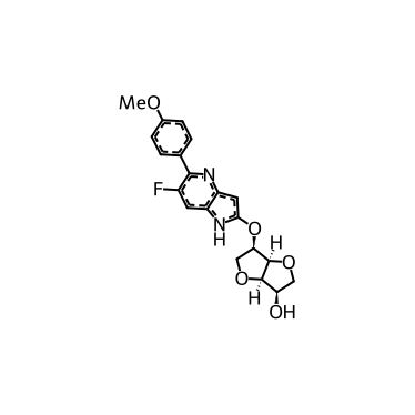 COc1ccc(-c2nc3cc(O[C@@H]4CO[C@H]5[C@@H]4OC[C@H]5O)[nH]c3cc2F)cc1